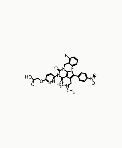 CN(C)Cc1c(-c2ccc([N+](=O)[O-])cc2)sc2c1c(=O)n(-c1ccc(OCC(=O)O)nn1)c(=O)n2Cc1c(F)cccc1F